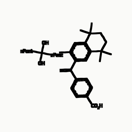 C=C(c1ccc(C(=O)O)cc1)c1cc2c(cc1C)C(C)(C)CCC2(C)C.CCCCCC(O)(O)CCCCC